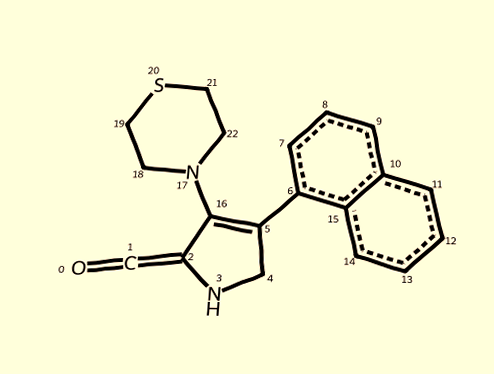 O=C=C1NCC(c2cccc3ccccc23)=C1N1CCSCC1